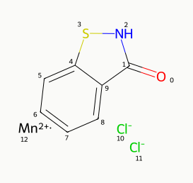 O=c1[nH]sc2ccccc12.[Cl-].[Cl-].[Mn+2]